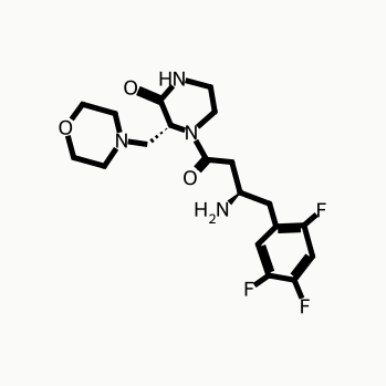 N[C@@H](CC(=O)N1CCNC(=O)[C@H]1CN1CCOCC1)Cc1cc(F)c(F)cc1F